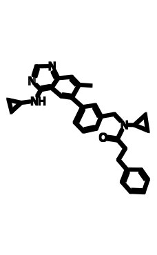 Cc1cc2ncnc(NC3CC3)c2cc1-c1cccc(CN(C(=O)CCc2ccccc2)C2CC2)c1